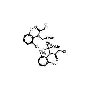 CCc1cccc(C)c1N(C(=O)CCl)C(C)(C)OC.CCc1cccc(CC)c1N(COC)C(=O)CCl